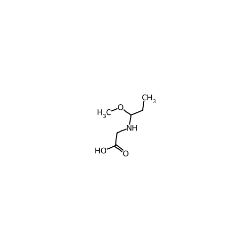 CCC(NCC(=O)O)OC